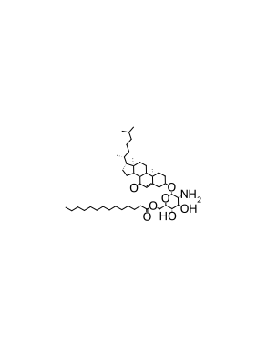 CCCCCCCCCCCCCC(=O)OC[C@H]1O[C@H](OC2CC[C@@]3(C)C(=CC(=O)C4C3CC[C@@]3(C)C4CC[C@@H]3[C@H](C)CCCC(C)C)C2)[C@H](N)[C@@H](O)[C@@H]1O